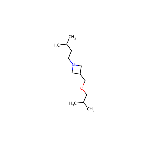 CC(C)CCN1CC(COCC(C)C)C1